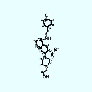 O=[N+]([O-])c1cc2c(NCCc3ccc(Cl)cc3)ncnc2cc1N1CCN(CCO)CC1